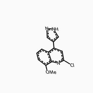 COc1cccc2c(-c3cn[nH]c3)cc(Cl)nc12